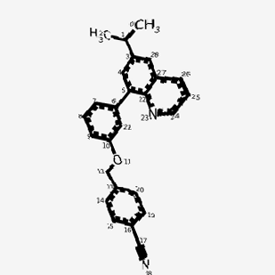 CC(C)c1cc(-c2cccc(OCc3ccc(C#N)cc3)c2)c2ncccc2c1